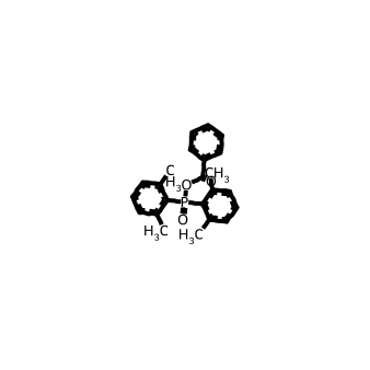 Cc1cccc(C)c1P(=O)(OC(=O)c1ccccc1)c1c(C)cccc1C